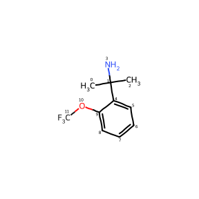 CC(C)(N)c1ccccc1OC(F)(F)F